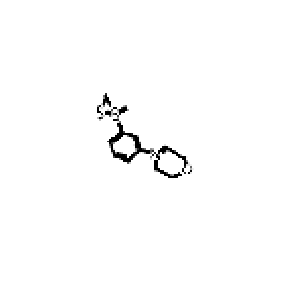 CS1(c2cccc(N3CCOCC3)c2)CS1